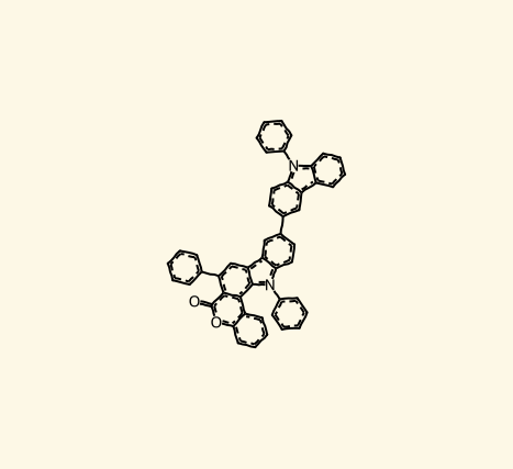 O=c1oc2ccccc2c2c1c(-c1ccccc1)cc1c3cc(-c4ccc5c(c4)c4ccccc4n5-c4ccccc4)ccc3n(-c3ccccc3)c12